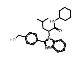 CC(C)CC(C(=O)NC1CCCCC1)n1c(-c2ccc(CO)cc2)nc2ccccc21